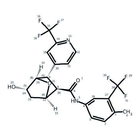 Cc1ccc(NC(=O)[C@@H]2[C@@H](c3ccnc(C(F)(F)F)c3)[C@H]3O[C@@H]2C[C@@H]3O)cc1C(F)(F)F